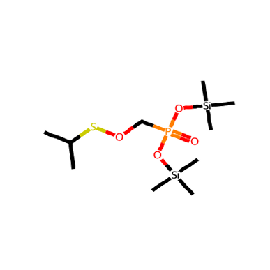 CC(C)SOCP(=O)(O[Si](C)(C)C)O[Si](C)(C)C